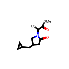 CCC(C(=O)OC)N1CC(CC2CC2)CC1=O